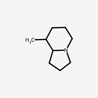 CC1CCCN2CCCC12